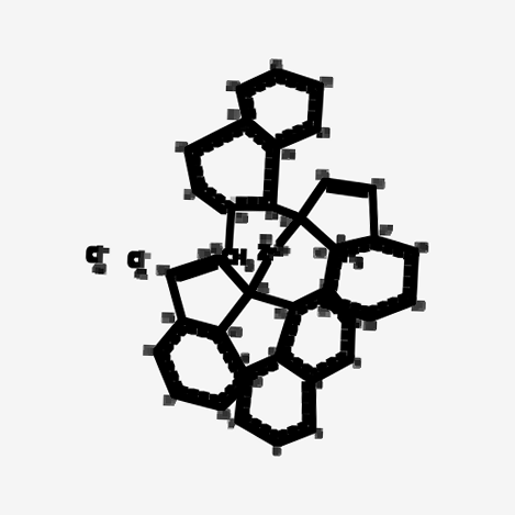 Cc1ccc2ccccc2c1[C]1([Zr+2][C]2(c3c(C)ccc4ccccc34)C=Cc3ccccc32)C=Cc2ccccc21.[Cl-].[Cl-]